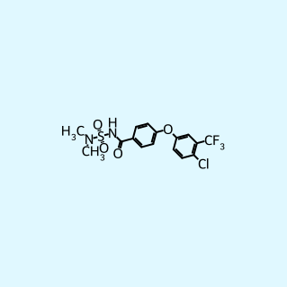 CN(C)S(=O)(=O)NC(=O)c1ccc(Oc2ccc(Cl)c(C(F)(F)F)c2)cc1